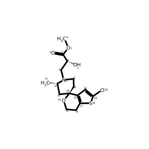 COC(=O)[C@H](O)CN1CC[C@]2(C[C@@H]1C)OCCc1sc(Cl)cc12